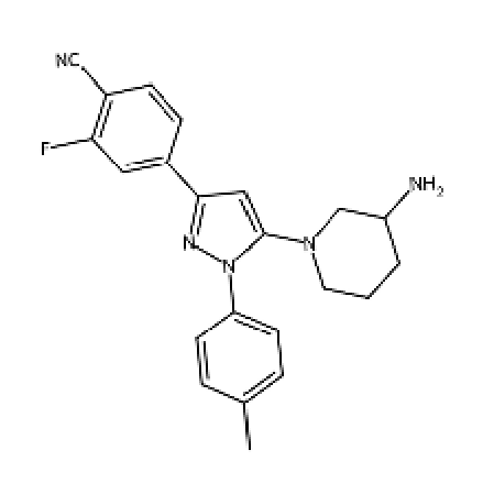 Cc1ccc(-n2nc(-c3ccc(C#N)c(F)c3)cc2N2CCCC(N)C2)cc1